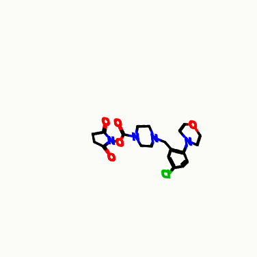 O=C(ON1C(=O)CCC1=O)N1CCN(Cc2cc(Cl)ccc2N2CCOCC2)CC1